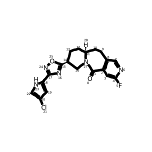 O=C1c2cc(F)ncc2CC[C@@H]2CC[C@H](c3nc(-c4cc(Cl)c[nH]4)no3)CN12